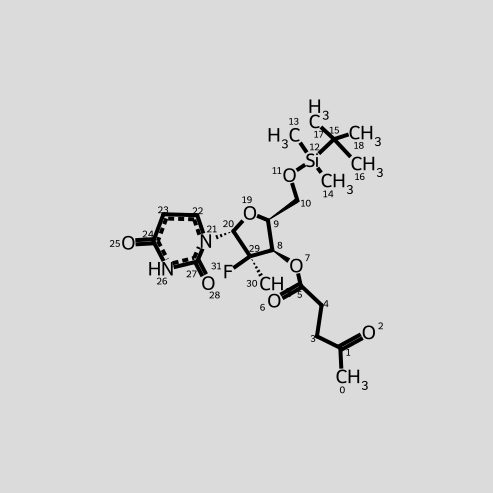 CC(=O)CCC(=O)O[C@@H]1[C@H](CO[Si](C)(C)C(C)(C)C)O[C@@H](n2ccc(=O)[nH]c2=O)[C@]1(C)F